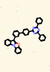 c1ccc(-c2nc(-c3ccccc3)nc(-c3ccc(-c4cccc(-c5c6ccccc6n6c5oc5ccccc56)c4)cc3)n2)cc1